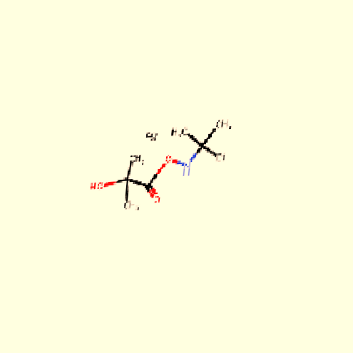 CCC(C)(C)NOC(=O)C(C)(C)O.[Ag]